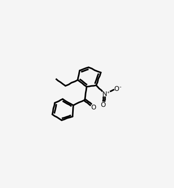 CCc1cccc([N+](=O)[O-])c1C(=O)c1ccccc1